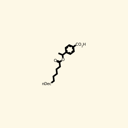 CCCCCCCCCCCCCCCC(=O)OC(C)c1ccc(C(=O)O)cc1